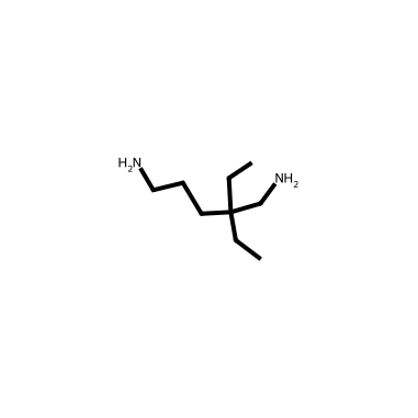 CCC(CC)(CN)CCCN